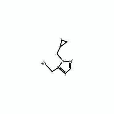 OCc1ccnn1CC1CC1